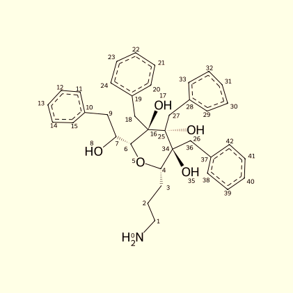 NCCC[C@@H]1O[C@H](C(O)Cc2ccccc2)[C@](O)(Cc2ccccc2)[C@@](O)(Cc2ccccc2)[C@]1(O)Cc1ccccc1